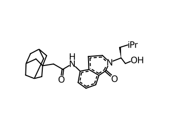 CC(C)C[C@@H](CO)n1ccc2c(NC(=O)CC34CC5CC(CC(C5)C3)C4)cccc2c1=O